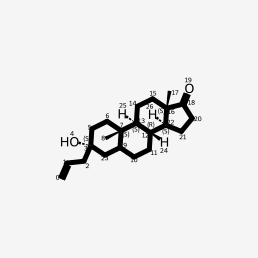 C=CC[C@@]1(O)CC[C@@]2(C)C(CC[C@@H]3[C@@H]2CC[C@]2(C)C(=O)CC[C@@H]32)C1